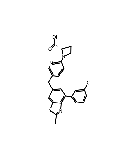 Cc1nc2c(-c3cccc(Cl)c3)cc(Cc3ccc(N4CC[C@H]4C(=O)O)nc3)cc2s1